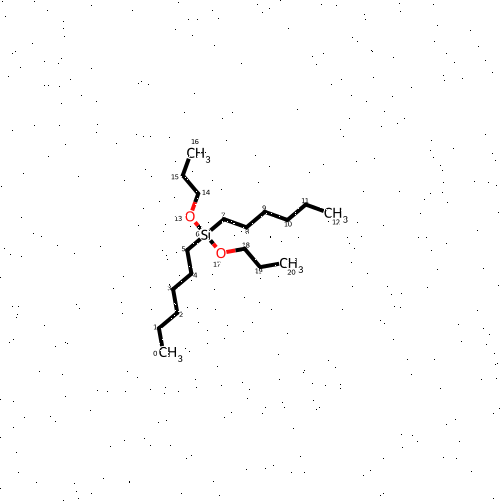 CCCCCC[Si](CCCCCC)(OCCC)OCCC